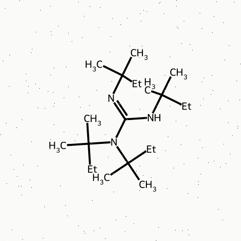 CCC(C)(C)N=C(NC(C)(C)CC)N(C(C)(C)CC)C(C)(C)CC